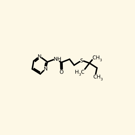 CCC(C)(C)SCCC(=O)Nc1ncccn1